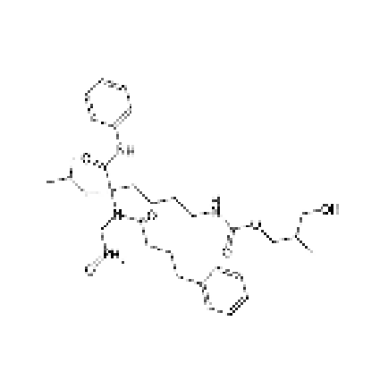 CC(C)C[C@@](CCCCNC(=O)OCC(C)CO)(C(=O)Nc1ccccc1)N(C[PH2]=O)C(=O)CCCc1ccccc1